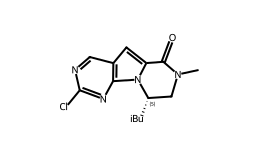 CCC(C)[C@H]1CN(C)C(=O)c2cc3cnc(Cl)nc3n21